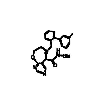 Cc1cccc(-c2ccccc2CN2CCOc3ncncc3C2C(=O)NC(C)(C)C)c1